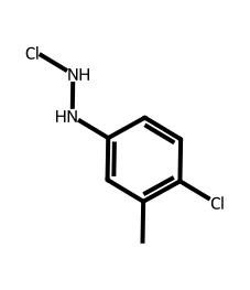 Cc1cc(NNCl)ccc1Cl